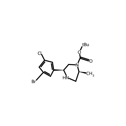 C[C@H]1CN[C@@H](c2cc(Cl)cc(Br)c2)CN1C(=O)OC(C)(C)C